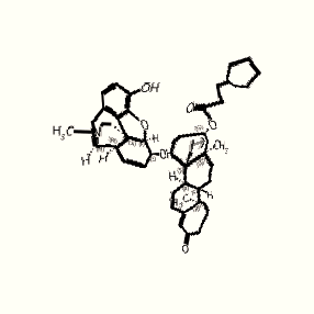 CN1CC[C@]23c4c5ccc(O)c4O[C@H]2[C@@H](O)C=C[C@H]3[C@H]1C5.C[C@]12CC[C@H]3[C@@H](CCC4=CC(=O)CC[C@@]43C)[C@@H]1CC[C@@H]2OC(=O)CCC1CCCC1